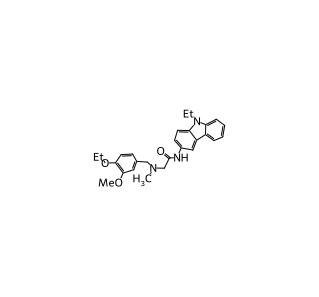 CCOc1ccc(CN(C)CC(=O)Nc2ccc3c(c2)c2ccccc2n3CC)cc1OC